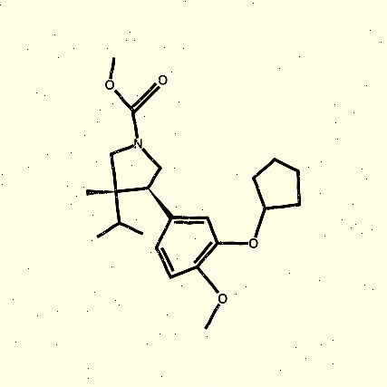 COC(=O)N1C[C@@H](c2ccc(OC)c(OC3CCCC3)c2)[C@](C)(C(C)C)C1